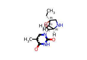 CC[C@@]12CN[C@@H]([C@H](n3cc(C)c(=O)[nH]c3=O)O1)[C@@H]2C